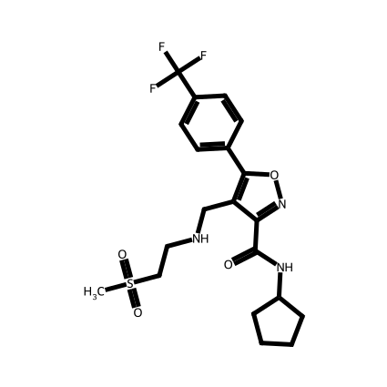 CS(=O)(=O)CCNCc1c(C(=O)NC2CCCC2)noc1-c1ccc(C(F)(F)F)cc1